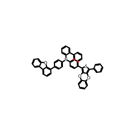 c1ccc(-c2ccccc2N(c2ccc(-c3sc(-c4ccccc4)c4c3Oc3ccccc3O4)cc2)c2ccc(-c3cccc4c3oc3ccccc34)cc2)cc1